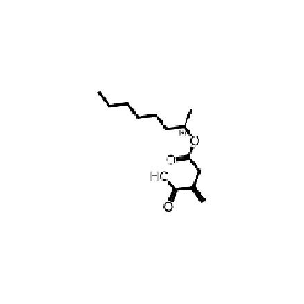 C=C(CC(=O)O[C@H](C)CCCCCC)C(=O)O